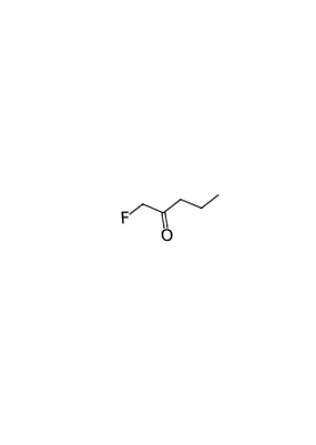 CCCC(=O)CF